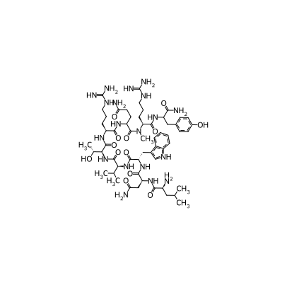 CC(C)C[C@H](N)C(=O)N[C@@H](CC(N)=O)C(=O)N[C@@H](Cc1c[nH]c2ccccc12)C(=O)N[C@H](C(=O)N[C@H](C(=O)N[C@@H](CCCNC(=N)N)C(=O)NC(CCC(N)=O)C(=O)N(C)[C@@H](CCCNC(=N)N)C(=O)NC(Cc1ccc(O)cc1)C(N)=O)[C@@H](C)O)C(C)C